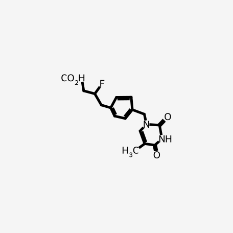 Cc1cn(Cc2ccc(CC(F)CC(=O)O)cc2)c(=O)[nH]c1=O